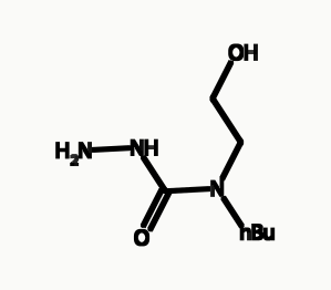 CCCCN(CCO)C(=O)NN